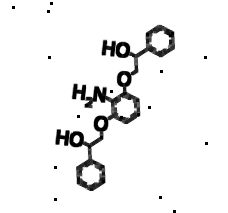 Nc1c(OCC(O)c2ccccc2)cccc1OCC(O)c1ccccc1